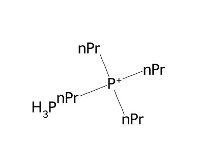 CCC[P+](CCC)(CCC)CCC.P